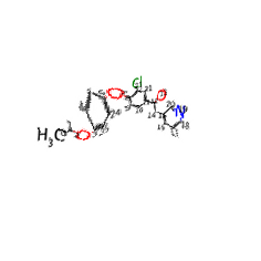 CCOc1ccc(Oc2ccc(C(=O)Cc3cccnc3)cc2Cl)cc1